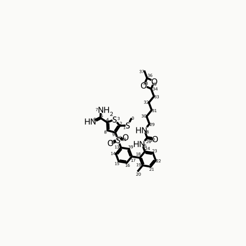 CSc1sc(C(=N)N)cc1S(=O)(=O)c1cccc(-c2c(C)cccc2NC(=O)NCCCCCC2OC(C)O2)c1